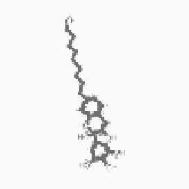 CCCCCCCCCCc1ccc2c(c1)OC(O)(c1cc(O)c(O)c(O)c1)C(O)=C2